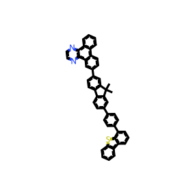 CC1(C)c2cc(-c3ccc(-c4cccc5c4sc4ccccc45)cc3)ccc2-c2ccc(-c3ccc4c5ccccc5c5nccnc5c4c3)cc21